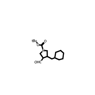 CC(C)(C)OC(=O)N1CC(C=O)C(CC2CCCCC2)C1